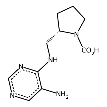 Nc1cncnc1NC[C@@H]1CCCN1C(=O)O